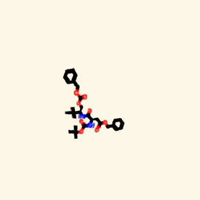 CC(C)(C)OC(=O)N[C@H](CC(=O)OCc1ccccc1)C(=O)N[C@H](COC(=O)OCc1ccccc1)C(C)(C)C